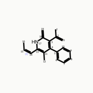 C=C(C)C1=C(c2ccccc2)C(C)=C(/C=C\C)NC1=C